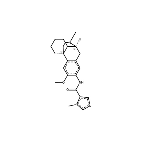 COc1cc2c(cc1NC(=O)c1cncn1C)C[C@H]1C3CCCC[C@@]23CCN1C